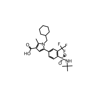 Cc1c(C(=O)O)cc(-c2ccc(S(=O)(=O)NC(C)(C)C)c(C(F)(F)F)c2)n1CC1CCCCC1